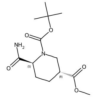 COC(=O)[C@@H]1CC[C@@H](C(N)=O)N(C(=O)OC(C)(C)C)C1